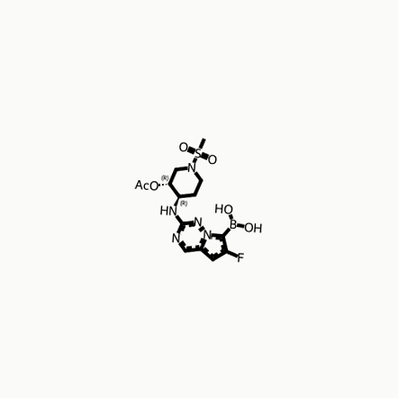 CC(=O)O[C@@H]1CN(S(C)(=O)=O)CC[C@H]1Nc1ncc2cc(F)c(B(O)O)n2n1